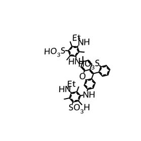 CCNc1c(C)c(Nc2ccc3c(c2)OC2=CC(C)(Nc4c(C)c(NCC)c(C)c(S(=O)(=O)O)c4C)C=CC2=C3c2ccccc2S(=O)(=O)O)c(C)c(S(=O)(=O)O)c1C